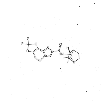 CC1(C)[C@H](NC(=O)c2cc3ccc4c(c3s2)OC(F)(F)O4)C2CCN1CC2